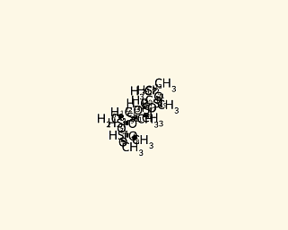 C=C[SiH](O[SiH](OC)OC)O[Si](C)(C)O[Si](C)(C)O[Si](C)(C)O[SiH](C)C